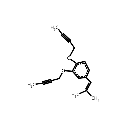 CC#CCOc1ccc(C=C(C)C)cc1OCC#CC